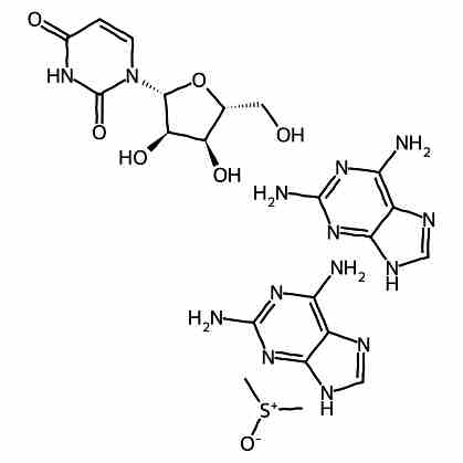 C[S+](C)[O-].Nc1nc(N)c2nc[nH]c2n1.Nc1nc(N)c2nc[nH]c2n1.O=c1ccn([C@@H]2O[C@H](CO)[C@@H](O)[C@H]2O)c(=O)[nH]1